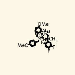 COc1ccc(CN(Cc2ccc(OC)cc2)C2=N[C@](C)(c3cc(F)c(F)cc3F)CS(=O)(=O)N2C)cc1